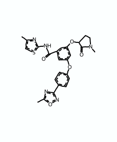 Cc1csc(NC(=O)c2cc(Oc3ccc(-c4noc(C)n4)cc3)cc(OC3CCN(C)C3=O)c2)n1